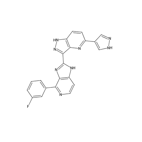 Fc1cccc(-c2nccc3[nH]c(-c4n[nH]c5ccc(-c6cn[nH]c6)nc45)nc23)c1